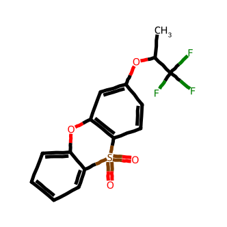 CC(Oc1ccc2c(c1)Oc1ccccc1S2(=O)=O)C(F)(F)F